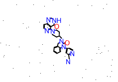 N#Cc1cc(N2C(=O)N(CC3CCN(c4nccc5nc[nH]c(=O)c45)CC3)Cc3ccccc32)ccn1